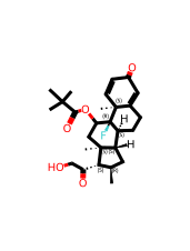 C[C@@H]1C[C@H]2[C@@H]3CCC4=CC(=O)C=C[C@]4(C)[C@@]3(F)C(OC(=O)C(C)(C)C)C[C@]2(C)[C@H]1C(=O)CO